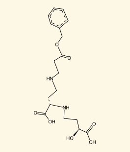 O=C(CCNCC[C@H](NCC[C@H](O)C(=O)O)C(=O)O)OCc1ccccc1